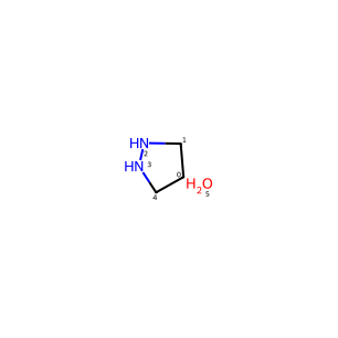 C1CNNC1.O